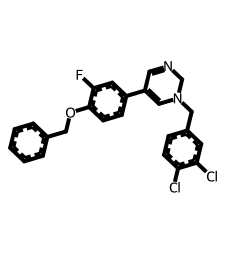 Fc1cc(C2=CN(Cc3ccc(Cl)c(Cl)c3)CN=C2)ccc1OCc1ccccc1